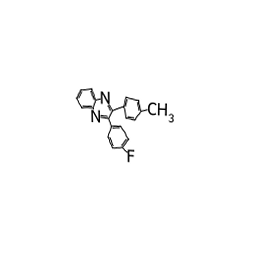 Cc1ccc(-c2nc3ccccc3nc2-c2ccc(F)cc2)cc1